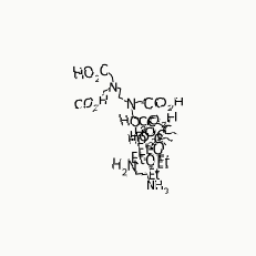 CC(=O)O.CC(=O)O.CC(=O)O.CC(=O)O.CCOCC.CCOCC.NCCN.O=C(O)CN(CCN(CC(=O)O)CC(=O)O)CC(=O)O